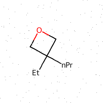 [CH2]CCC1(CC)COC1